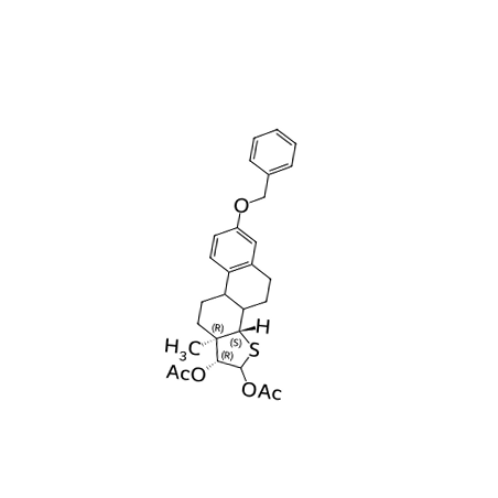 CC(=O)OC1S[C@H]2C3CCc4cc(OCc5ccccc5)ccc4C3CC[C@]2(C)[C@H]1OC(C)=O